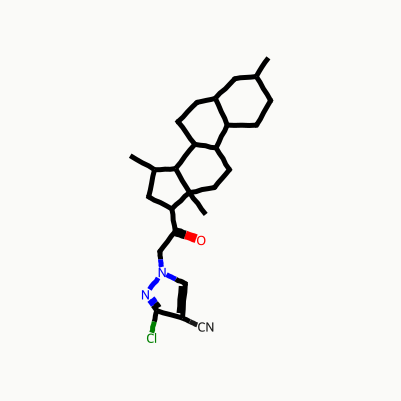 CC1CCC2C(CCC3C2CCC2(C)C(C(=O)Cn4cc(C#N)c(Cl)n4)CC(C)C32)C1